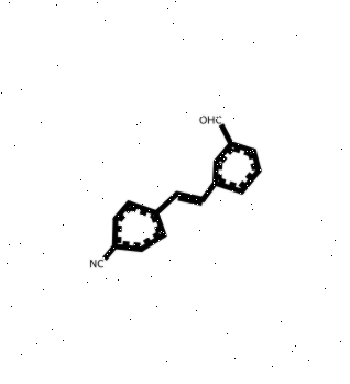 N#Cc1ccc(C=Cc2cccc(C=O)c2)cc1